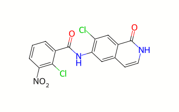 O=C(Nc1cc2cc[nH]c(=O)c2cc1Cl)c1cccc([N+](=O)[O-])c1Cl